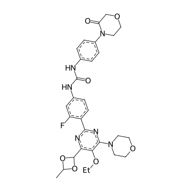 CCOc1c(C2OC(C)O2)nc(-c2ccc(NC(=O)Nc3ccc(N4CCOCC4=O)cc3)cc2F)nc1N1CCOCC1